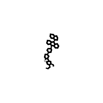 C=Cc1cc2c(cc1/C=C\C)oc1ccc(-c3ccc(-c4c5ccccc5c(-c5cccc6ccccc56)c5ccccc45)cc3)cc12